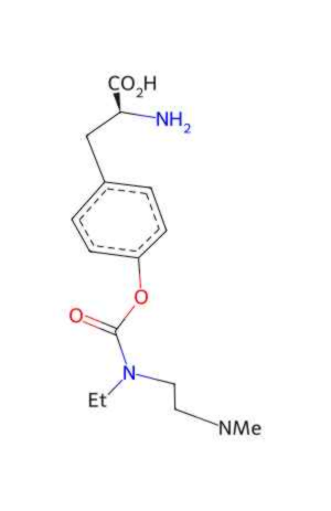 CCN(CCNC)C(=O)Oc1ccc(C[C@H](N)C(=O)O)cc1